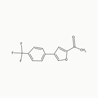 CC(=O)c1cc(-c2ccc(C(F)(F)F)cc2)co1